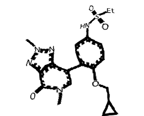 CCS(=O)(=O)Nc1ccc(OCC2CC2)c(-c2cn(C)c(=O)c3nn(C)nc23)c1